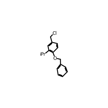 CC(C)c1cc(CCl)ccc1OCc1ccccc1